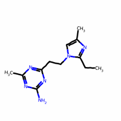 CCc1nc(C)cn1CCc1nc(C)nc(N)n1